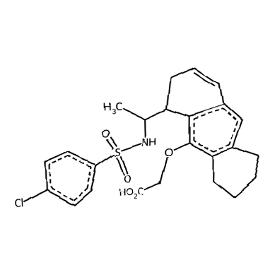 CC(NS(=O)(=O)c1ccc(Cl)cc1)C1CC=Cc2cc3c(c(OCC(=O)O)c21)CCCC3